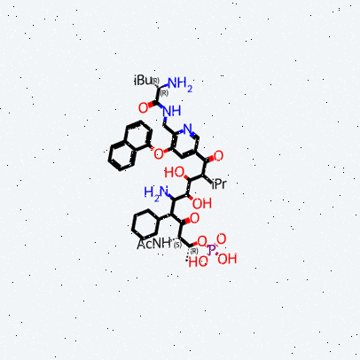 CC[C@@H](C)[C@@H](N)C(=O)NCc1ncc(C(=O)C(C(C)C)C(O)C(O)C(N)C(C(=O)[C@@H](NC(C)=O)[C@@H](C)OP(=O)(O)O)C2CCCCC2)cc1Oc1cccc2ccccc12